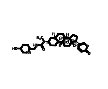 CN(C(=O)NCC1CCC(O)CN1)[C@H]1CC[C@@]2(C)[C@H](CC[C@@H]3[C@@H]2CC[C@]2(C)[C@@H](c4ccc(=O)oc4)CC[C@]32O)C1